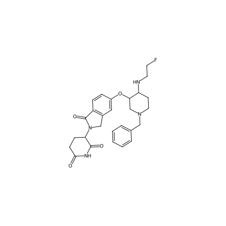 O=C1CCC(N2Cc3cc(OC4CN(Cc5ccccc5)CCC4NCCF)ccc3C2=O)C(=O)N1